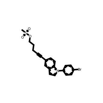 CS(=O)(=O)OCCCC#Cc1ccc2c(ccn2-c2ccc(Br)cc2)c1